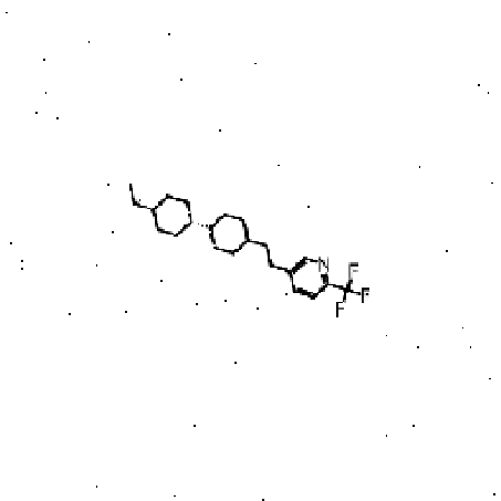 CC[C@H]1CC[C@H](C2CCC(CCc3ccc(C(F)(F)F)nc3)CC2)CC1